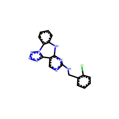 Clc1ccccc1CNc1ncc2c(n1)Nc1ccccc1-n1nnnc1-2